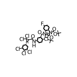 CC(C)(C)OC(=O)N(C(=O)OC(C)(C)C)c1ccc(F)cc1NC(=O)c1cc(NC(=O)C2[C@H](c3cc(Cl)c(Cl)c(Cl)c3)C2(Cl)Cl)ccc1Cl